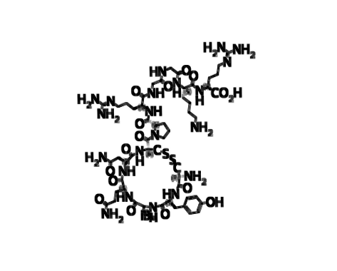 CC[C@H](C)C1NC(=O)[C@H](Cc2ccc(O)cc2)NC(=O)[C@@H](N)CSSC[C@@H](C(=O)N2CCC[C@H]2C(=O)N[C@@H](CCCN=C(N)N)C(=O)NCC(=O)NCC(=O)N[C@@H](CCCCN)C(=O)N[C@@H](CCCN=C(N)N)C(=O)O)NC(=O)[C@H](CC(N)=O)NC(=O)[C@H](CCC(N)=O)NC1=O